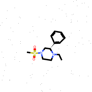 CCN1CCN(S(C)(=O)=O)C[C@@H]1c1ccccc1